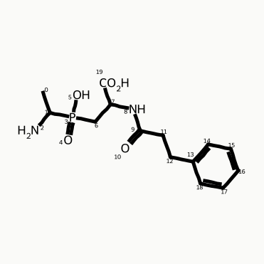 CC(N)P(=O)(O)CC(NC(=O)CCc1ccccc1)C(=O)O